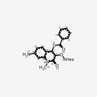 CCCCCCOc1c(OC(=O)c2ccccc2)c2ccc(N)cc2n(C)c1=O